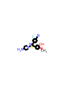 COc1ccc(-c2sc(N3CCC(N)CC3)nc2-c2ccc(C#N)c(F)c2)cc1O